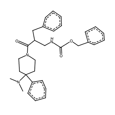 CN(C)C1(c2ccccc2)CCN(C(=O)C(CNC(=O)OCc2ccccc2)Cc2ccccc2)CC1